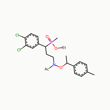 CCOP(C)(=O)C(CCN(OC(C)c1ccc(C)cc1)C(C)=O)c1ccc(Cl)c(Cl)c1